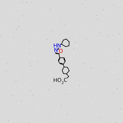 O=C(O)CC1CCC(c2ccc(-c3cnc(NC4CCCCC4)o3)cc2)CC1